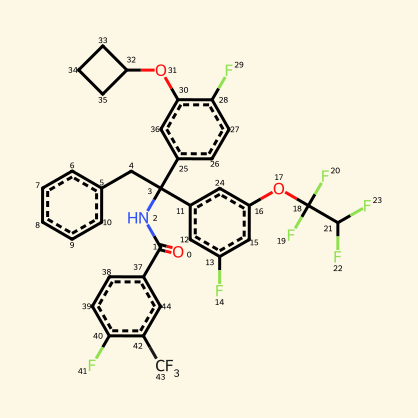 O=C(NC(Cc1ccccc1)(c1cc(F)cc(OC(F)(F)C(F)F)c1)c1ccc(F)c(OC2CCC2)c1)c1ccc(F)c(C(F)(F)F)c1